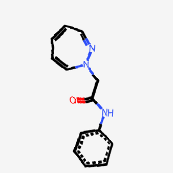 O=C(CN1C=CC=CC=N1)Nc1ccccc1